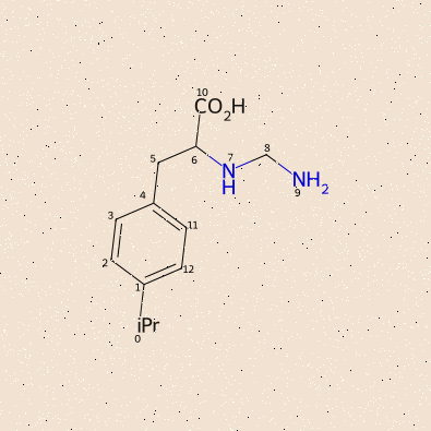 CC(C)c1ccc(CC(NCN)C(=O)O)cc1